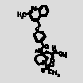 Cc1cc(COc2ccc(C(=O)NC3(CC(=O)NO)CCCN(S(C)(=O)=O)C3)cc2)c2ccccc2n1